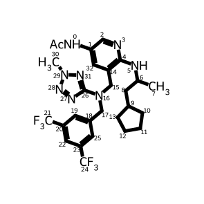 CC(=O)Nc1cnc(NC(C)CC2CCCC2)c(CN(Cc2cc(C(F)(F)F)cc(C(F)(F)F)c2)c2nnn(C)n2)c1